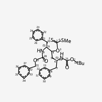 CSC(=S)OC(C[C@H](Cc1ccccc1)NC(=O)OC(C)(C)C)[C@H](Cc1ccccc1)NC(=O)OCc1ccccc1